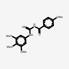 COc1ccc(C(=O)NC(=N)Nc2cc(OC)c(OC)c(OC)c2)cc1